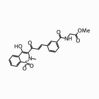 COC(=O)CNC(=O)c1cccc(/C=C/C(=O)C2=C(O)c3ccccc3S(=O)(=O)N2C)c1